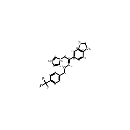 FC(F)(F)c1ccc(CO/N=C(\Cn2ccnc2)c2ccc3c(c2)OCO3)cc1